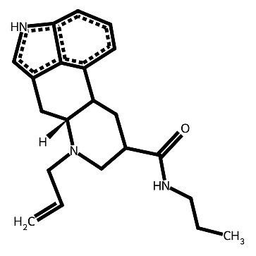 C=CCN1CC(C(=O)NCCC)CC2c3cccc4[nH]cc(c34)C[C@H]21